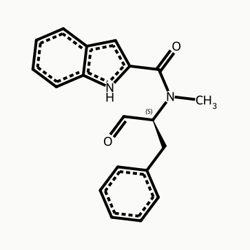 CN(C(=O)c1cc2ccccc2[nH]1)[C@H](C=O)Cc1ccccc1